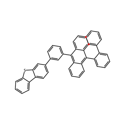 c1ccc(-c2ccccc2-c2c3ccccc3c(-c3cccc(-c4ccc5c(c4)sc4ccccc45)c3)c3ccccc23)cc1